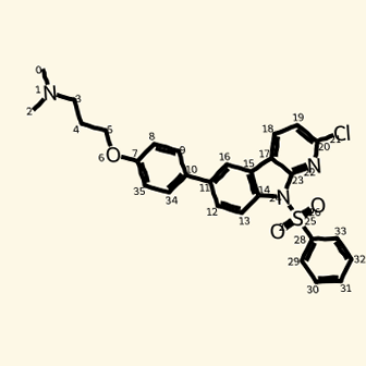 CN(C)CCCOc1ccc(-c2ccc3c(c2)c2ccc(Cl)nc2n3S(=O)(=O)c2ccccc2)cc1